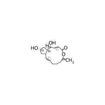 C[C@H]1CCC/C=C/C2C[C@H](O)C[C@H]2[C@H](O)/C=C/C(=O)O1